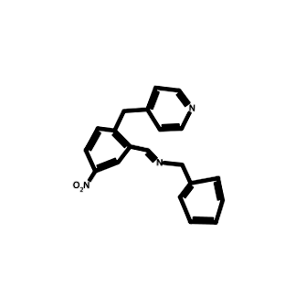 O=[N+]([O-])c1ccc(Cc2ccncc2)c(/C=N/Cc2ccccc2)c1